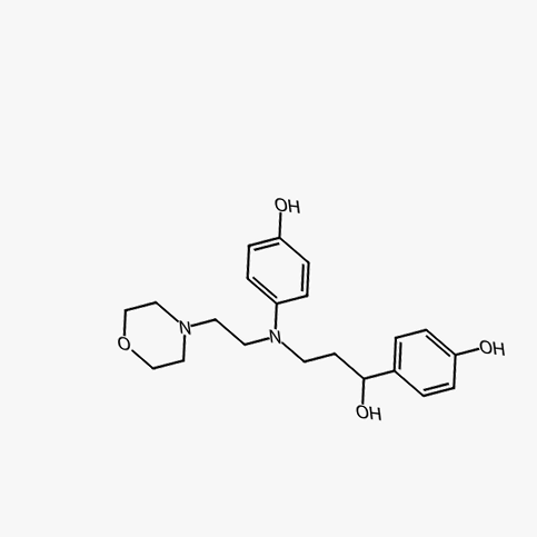 Oc1ccc(C(O)CCN(CCN2CCOCC2)c2ccc(O)cc2)cc1